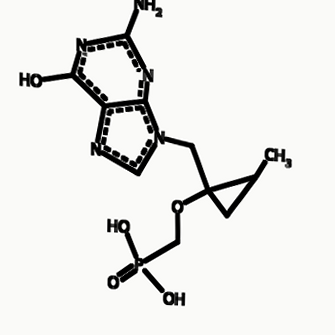 CC1CC1(Cn1cnc2c(O)nc(N)nc21)OCP(=O)(O)O